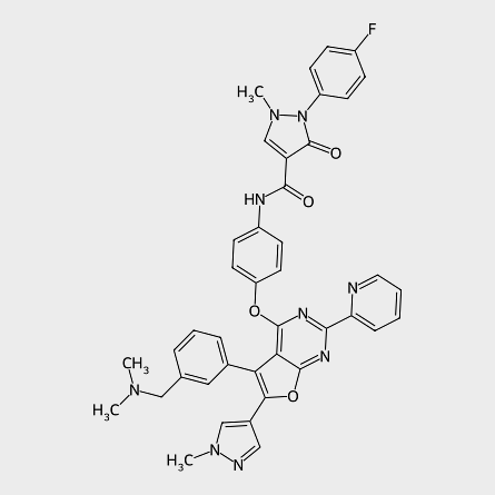 CN(C)Cc1cccc(-c2c(-c3cnn(C)c3)oc3nc(-c4ccccn4)nc(Oc4ccc(NC(=O)c5cn(C)n(-c6ccc(F)cc6)c5=O)cc4)c23)c1